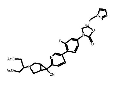 CC(=O)OCC(COC(C)=O)N1CC2C(C1)C2(C#N)c1ccc(-c2ccc(N3C[C@H](Cn4ccnn4)OC3=O)cc2F)cn1